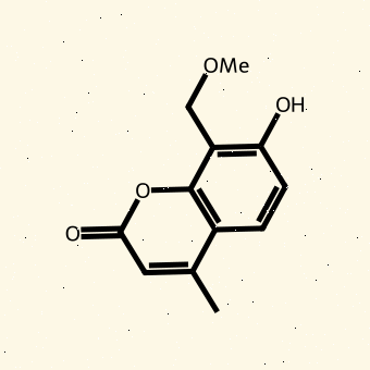 COCc1c(O)ccc2c(C)cc(=O)oc12